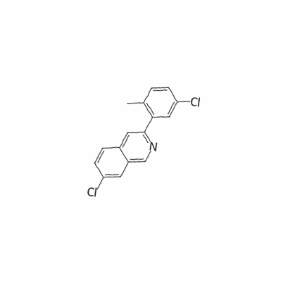 Cc1ccc(Cl)cc1-c1cc2ccc(Cl)cc2cn1